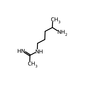 CC(=N)NCCCC(C)N